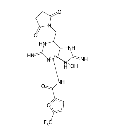 N=C1NC2C(CN3C(=O)CCC3=O)NC(=N)N3CC(NC(=O)c4ccc(C(F)(F)F)o4)C(O)C23N1